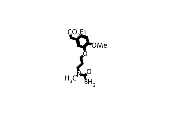 BC(=O)N(C)CCCOc1cc(CC(=O)OCC)ccc1OC